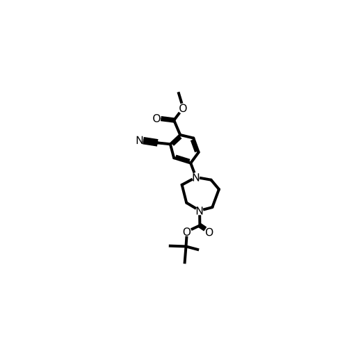 COC(=O)c1ccc(N2CCCN(C(=O)OC(C)(C)C)CC2)cc1C#N